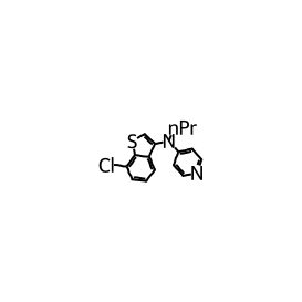 CCCN(c1ccncc1)c1csc2c(Cl)cccc12